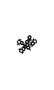 Cc1cc2c3c(c1)N(c1cc4c(cc1C)CCCC4(C)C)c1c(ccc4c1oc1ccccc14)B3N(c1ccc3c(c1)C(C)(C)CCC3(C)C)c1cc3c(cc1-2)C(C)(C)CCC3(C)C